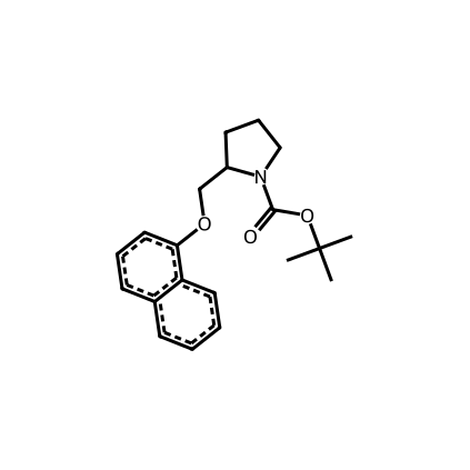 CC(C)(C)OC(=O)N1CCCC1COc1cccc2ccccc12